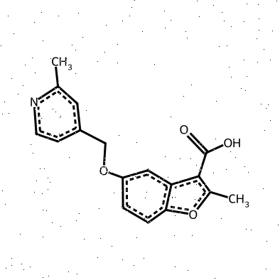 Cc1cc(COc2ccc3oc(C)c(C(=O)O)c3c2)ccn1